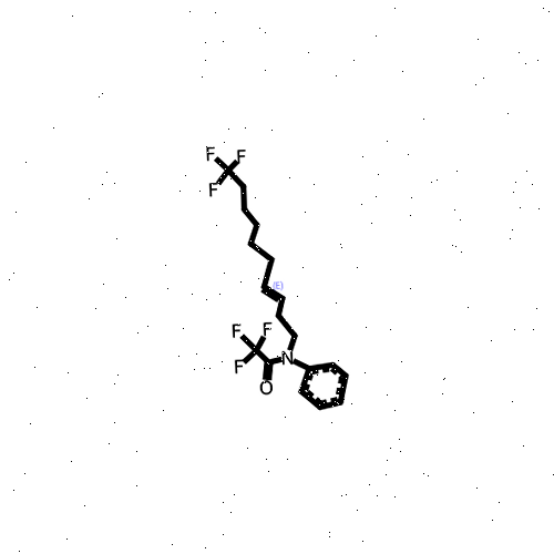 O=C(N(CC/C=C/CCCCCC(F)(F)F)c1ccccc1)C(F)(F)F